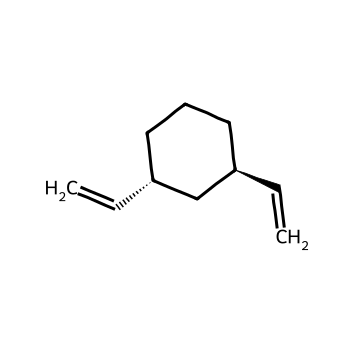 C=C[C@@H]1CCC[C@@H](C=C)C1